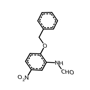 O=CNc1cc([N+](=O)[O-])ccc1OCc1ccccc1